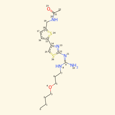 CCCCOCCCNC(N)=Nc1nc(-c2ccc(CNC(C)=O)s2)cs1